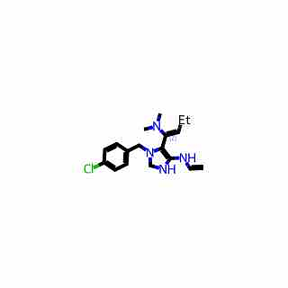 C=CNC1=C(/C(=C/CC)N(C)C)N(Cc2ccc(Cl)cc2)CN1